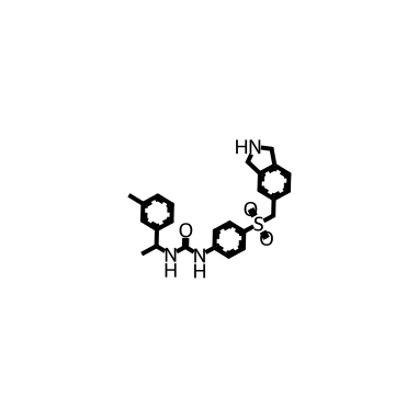 Cc1cccc(C(C)NC(=O)Nc2ccc(S(=O)(=O)Cc3ccc4c(c3)CNC4)cc2)c1